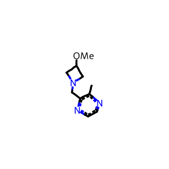 COC1CN(Cc2nccnc2C)C1